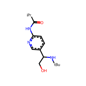 CC(C)C(=O)Nc1ccc(C(CO)NC(C)(C)C)cn1